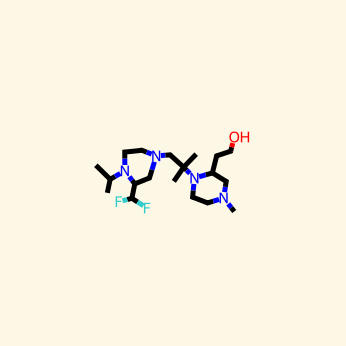 CC(C)N1CCN(CC(C)(C)N2CCN(C)CC2CCO)CC1C(F)F